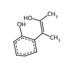 CC(O)=C(C)c1ccccc1O